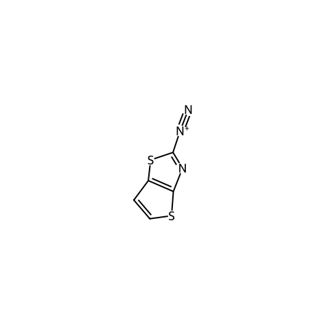 N#[N+]c1nc2sccc2s1